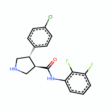 O=C(Nc1cccc(F)c1F)[C@H]1CNC[C@@H]1c1ccc(Cl)cc1